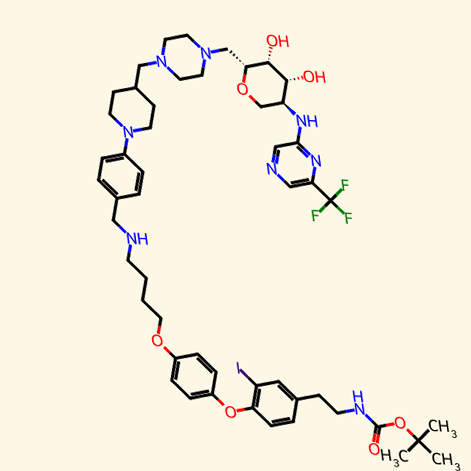 CC(C)(C)OC(=O)NCCc1ccc(Oc2ccc(OCCCCNCc3ccc(N4CCC(CN5CCN(C[C@H]6OC[C@H](Nc7cncc(C(F)(F)F)n7)[C@@H](O)[C@H]6O)CC5)CC4)cc3)cc2)c(I)c1